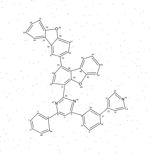 c1ccc(-c2cc(-c3cccc(-c4ccncc4)c3)nc(-c3ccc(-c4ccc5oc6ccccc6c5c4)c4c3oc3ccccc34)n2)cc1